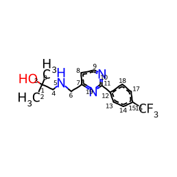 CC(C)(O)CNCc1ccnc(-c2ccc(C(F)(F)F)cc2)n1